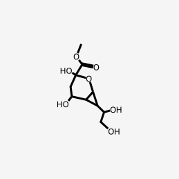 COC(=O)C1(O)CC(O)C2C(O1)C2C(O)CO